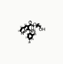 CC(C)(CO)ONC(=O)c1cc2ccncn2c1Nc1ccc(I)cc1F